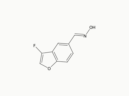 O/N=C/c1ccc2occ(F)c2c1